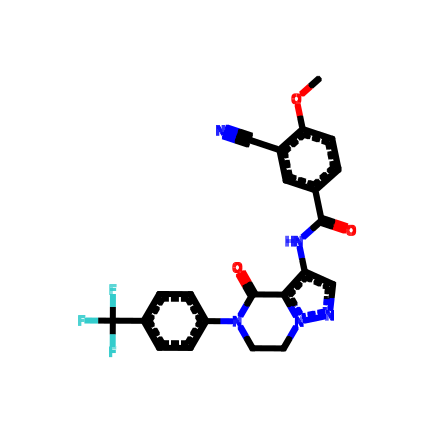 COc1ccc(C(=O)Nc2cnn3c2C(=O)N(c2ccc(C(F)(F)F)cc2)CC3)cc1C#N